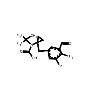 Cc1c(Br)cc(CC2(N(C(=O)O)C(C)(C)C)CC2)cc1C=O